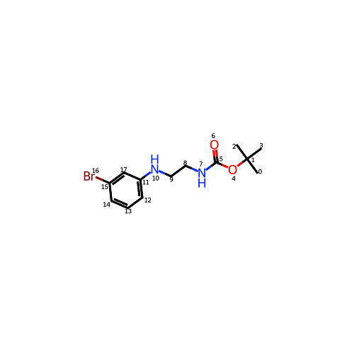 CC(C)(C)OC(=O)NCCNc1cccc(Br)c1